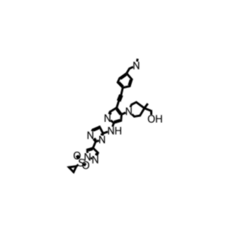 CN(C)Cc1ccc(C#Cc2cnc(Nc3ccnc(-c4cnn(S(=O)(=O)C5CC5)c4)n3)cc2N2CCC(C)(CO)CC2)cc1